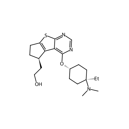 CC[C@]1(N(C)C)CC[C@H](Oc2ncnc3sc4c(c23)[C@@H](CCO)CC4)CC1